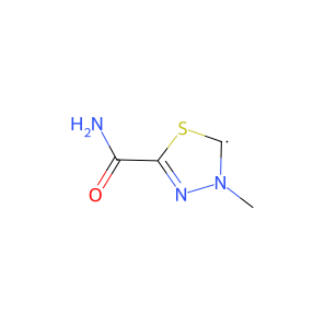 CN1[CH]SC(C(N)=O)=N1